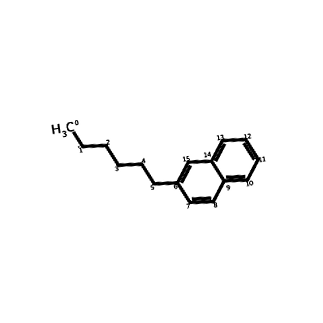 C[CH]CCCCc1ccc2ccccc2c1